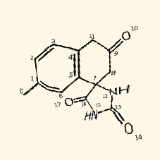 Cc1ccc2c(c1)C1(CC(=O)C2)NC(=O)NC1=O